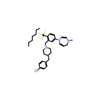 CCCCCCC.CN1C=CN(c2ccc(C(F)(F)F)c(CN3CCC(Cc4ccc(Cl)cc4)CC3)c2)C=CC1